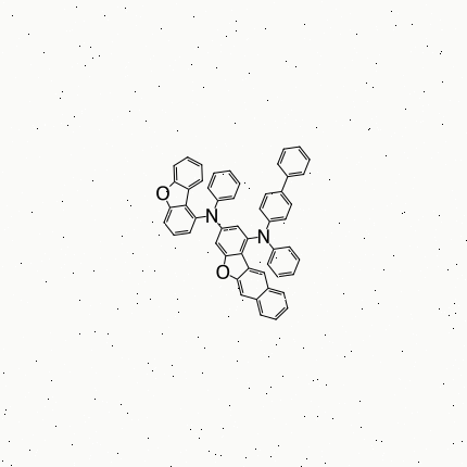 c1ccc(-c2ccc(N(c3ccccc3)c3cc(N(c4ccccc4)c4cccc5oc6ccccc6c45)cc4oc5cc6ccccc6cc5c34)cc2)cc1